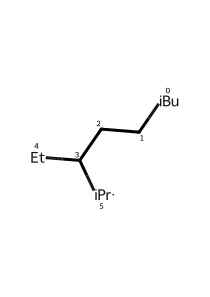 CCC(C)CCC(CC)[C](C)C